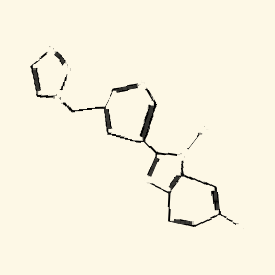 CC(C)n1c(-c2cncc(Cn3ccnn3)c2)nc2ccc(Br)cc21